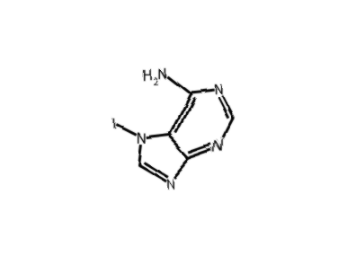 Nc1ncnc2ncn(I)c12